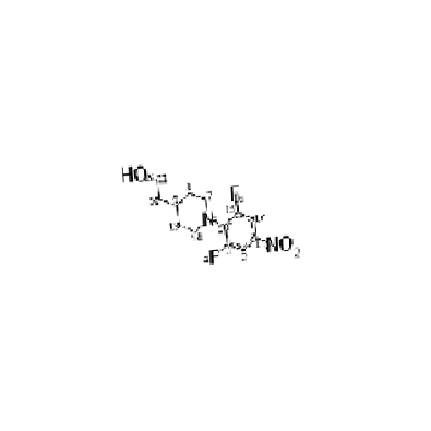 O=[N+]([O-])c1cc(F)c(N2CCC(CCO)CC2)c(F)c1